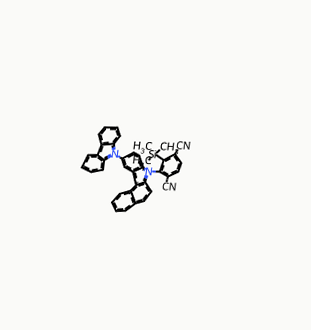 C[Si](C)(C)c1c(C#N)ccc(C#N)c1-n1c2ccc(-n3c4ccccc4c4ccccc43)cc2c2c3ccccc3ccc21